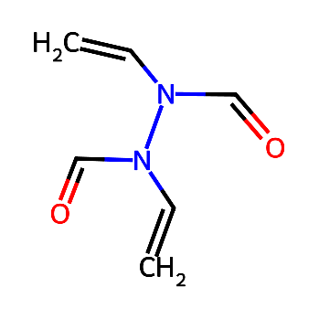 C=CN(C=O)N(C=C)C=O